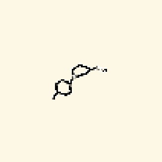 CC1CCC(N2CCC(C(=O)O)C2)CC1